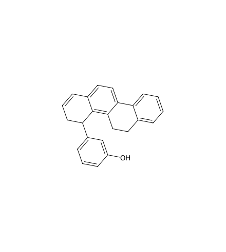 Oc1cccc(C2CC=Cc3ccc4c(c32)CCc2ccccc2-4)c1